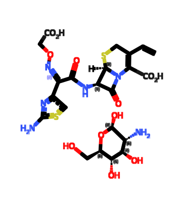 C=CC1=C(C(=O)O)N2C(=O)[C@@H](NC(=O)/C(=N\OCC(=O)O)c3csc(N)n3)[C@H]2SC1.N[C@@H]1[C@@H](O)[C@H](O)[C@@H](CO)O[C@H]1O